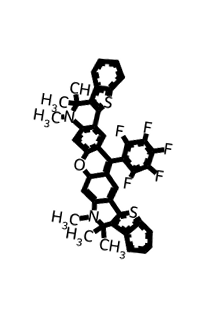 CN1C2=CC3Oc4cc5c(cc4C(c4c(F)c(F)c(F)c(F)c4F)=C3C=C2c2sc3ccccc3c2C1(C)C)-c1sc2ccccc2c1C(C)(C)N5C